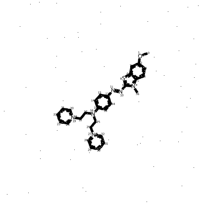 COc1ccc2c(c1)sc(N=Nc1ccc(N(CC[n+]3ccccc3)CC[n+]3ccccc3)cc1)[n+]2C